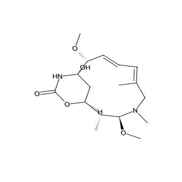 CO[C@H]1[C@H](C)[C@@H]2C[C@@](O)(NC(=O)O2)[C@H](OC)/C=C/C=C(\C)CN1C